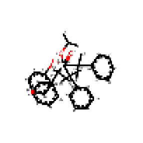 CC(C)[O][Ti](=[O])([O]c1ccccc1)([C](C)(C)c1ccccc1)([C](C)(C)c1ccccc1)[C](C)(C)c1ccccc1